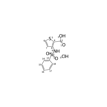 Cl.O=C(O)c1sccc1NS(=O)(=O)c1ccccc1